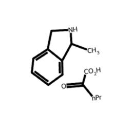 CC1NCc2ccccc21.CCCC(=O)C(=O)O